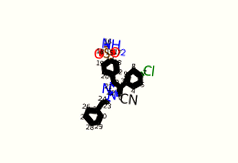 N#Cc1c(-c2ccc(Cl)cc2)c(-c2ccc(S(N)(=O)=O)cc2)nn1CCc1ccccc1